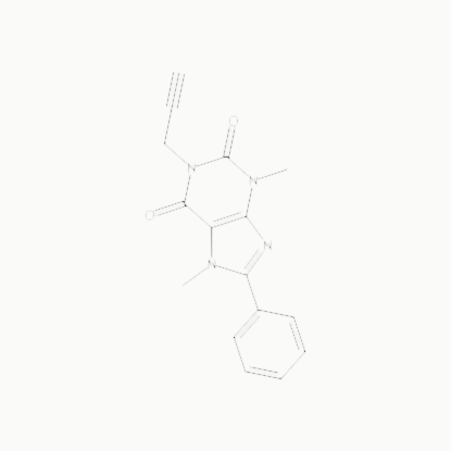 C#CCn1c(=O)c2c(nc(-c3ccccc3)n2C)n(C)c1=O